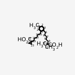 Cc1ccc(CCCCCC(C)(C)C(=O)O)c(CCCCCC2(C(=O)O)CC2)c1